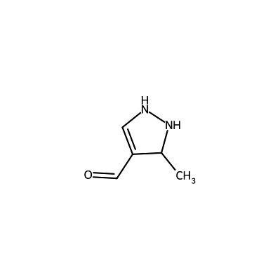 CC1NNC=C1C=O